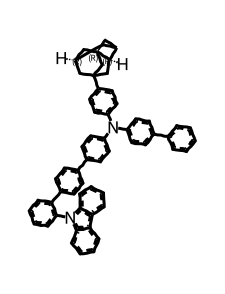 c1ccc(-c2ccc(N(c3ccc(-c4ccc(-c5ccccc5-n5c6ccccc6c6ccccc65)cc4)cc3)c3ccc(C45C[C@@H]6CC7C[C@](C6)(C4)[C@@H]7C5)cc3)cc2)cc1